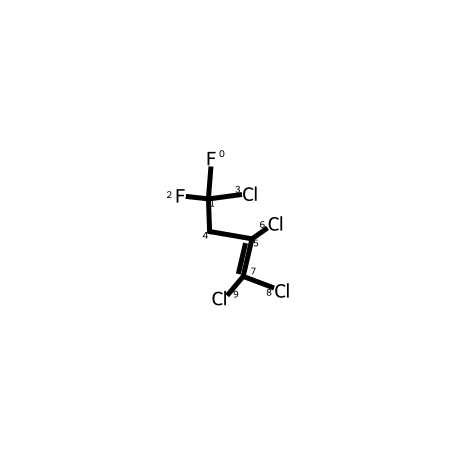 FC(F)(Cl)CC(Cl)=C(Cl)Cl